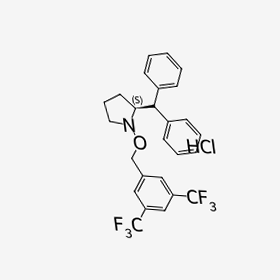 Cl.FC(F)(F)c1cc(CON2CCC[C@H]2C(c2ccccc2)c2ccccc2)cc(C(F)(F)F)c1